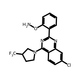 NOc1ccccc1-c1nc(N2CCC(C(F)(F)F)C2)c2ccc(Cl)cc2n1